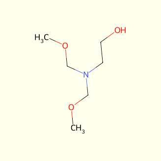 COCN(CCO)COC